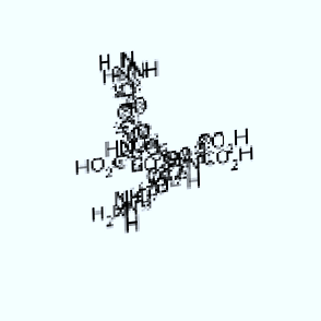 N=C(N)Nc1ccc(C(=O)Oc2ccc(C(=O)N[C@@H](CC(=O)O)C(=O)O)c(OCCOCCOc3cc(OC(=O)c4ccc(NC(=N)N)cc4)ccc3C(=O)N[C@@H](CC(=O)O)C(=O)O)c2)cc1